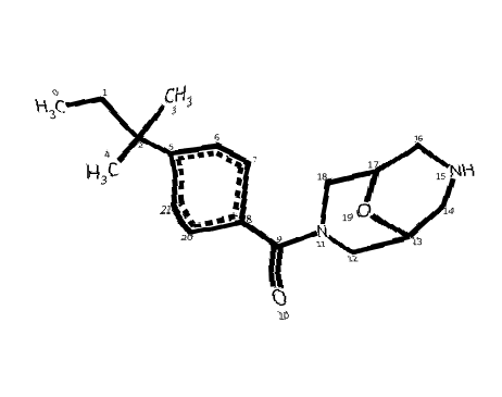 CCC(C)(C)c1ccc(C(=O)N2CC3CNCC(C2)O3)cc1